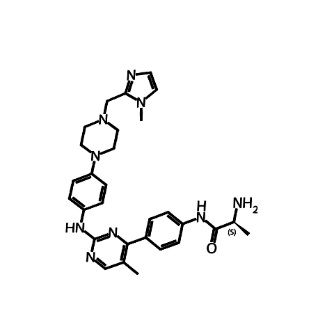 Cc1cnc(Nc2ccc(N3CCN(Cc4nccn4C)CC3)cc2)nc1-c1ccc(NC(=O)[C@H](C)N)cc1